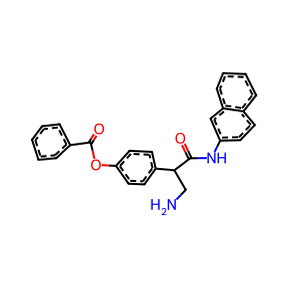 NCC(C(=O)Nc1ccc2ccccc2c1)c1ccc(OC(=O)c2ccccc2)cc1